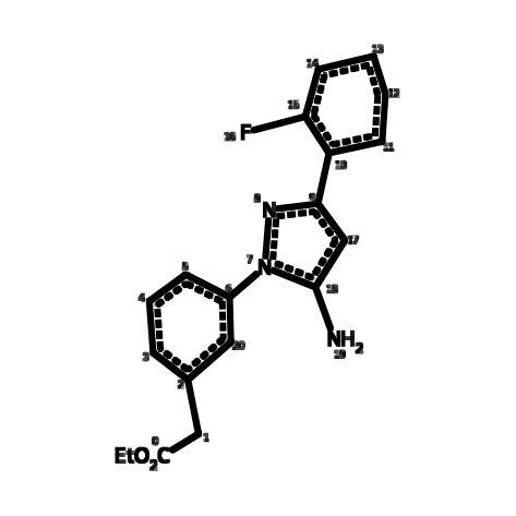 CCOC(=O)Cc1cccc(-n2nc(-c3ccccc3F)cc2N)c1